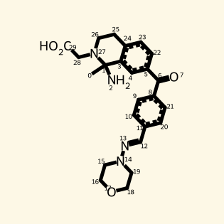 CC1(N)c2cc(C(=O)c3ccc(C=NN4CCOCC4)cc3)ccc2CCN1CC(=O)O